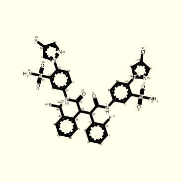 NS(=O)(=O)c1cc(NC(=O)C(c2ccccc2F)C(C(=O)Nc2ccc(-n3cc(F)cn3)c(S(N)(=O)=O)c2)c2ccccc2C(F)F)ccc1-n1cc(Cl)cn1